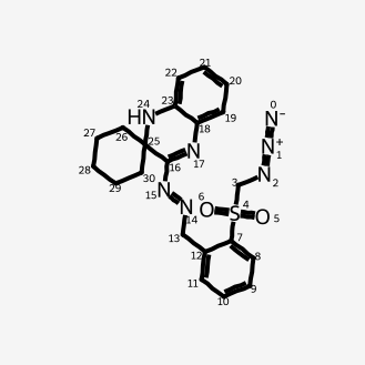 [N-]=[N+]=NCS(=O)(=O)c1ccccc1CN=NC1=Nc2ccccc2NC12CCCCC2